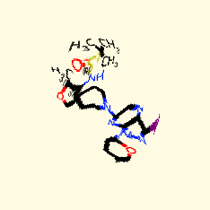 C[C@@H]1OCC2(CCN(c3cnc4c(I)nn([C@@H]5CCCCO5)c4n3)CC2)[C@@H]1N[S@@+]([O-])C(C)(C)C